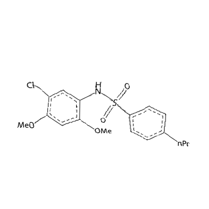 CCCc1ccc(S(=O)(=O)Nc2cc(Cl)c(OC)cc2OC)cc1